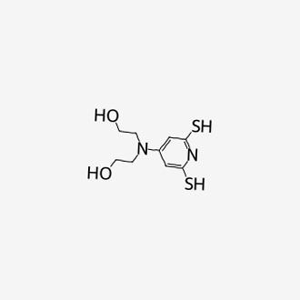 OCCN(CCO)c1cc(S)nc(S)c1